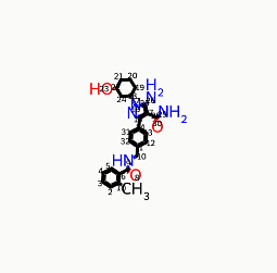 Cc1ccccc1C(=O)NCc1ccc(-c2nn(C3CCCC(O)C3)c(N)c2C(N)=O)cc1